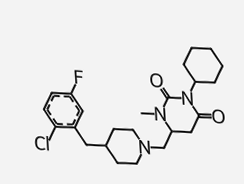 CN1C(=O)N(C2CCCCC2)C(=O)CC1CN1CCC(Cc2cc(F)ccc2Cl)CC1